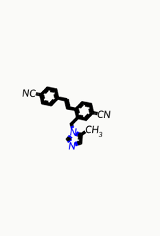 Cc1cncn1Cc1cc(C#N)ccc1C=Cc1ccc(C#N)cc1